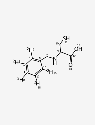 [2H]c1c([2H])c([2H])c(CNC(CS)C(=O)O)c([2H])c1[2H]